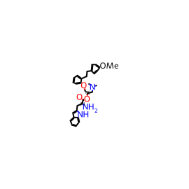 COc1ccc(CCc2ccccc2OC[C@@H](CN(C)C)OC(=O)[C@H](N)Cc2cc3ccccc3[nH]2)cc1